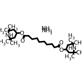 CC1(C)CC(OC(=O)CCCCCCCCC(=O)OC2CC(C)(C)NC(C)(C)C2)CC(C)(C)N1.N.N